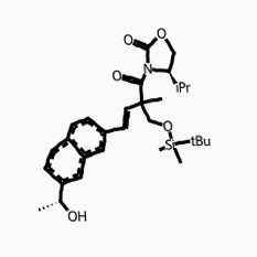 CC(C)[C@@H]1COC(=O)N1C(=O)C(C)(/C=C/c1ccc2ccc([C@@H](C)O)cc2c1)CO[Si](C)(C)C(C)(C)C